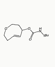 CC(C)(C)NC(=O)OC1/C=C/CCOCC1